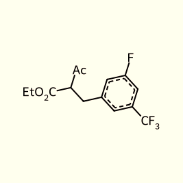 CCOC(=O)C(Cc1cc(F)cc(C(F)(F)F)c1)C(C)=O